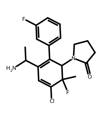 CC(N)C1=C(c2cccc(F)c2)C(N2CCCC2=O)C(C)(F)C(Cl)=C1